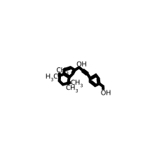 CC1(C)CCC(C)(C)c2cc(C(O)C#Cc3ccc(CO)cc3)ccc21